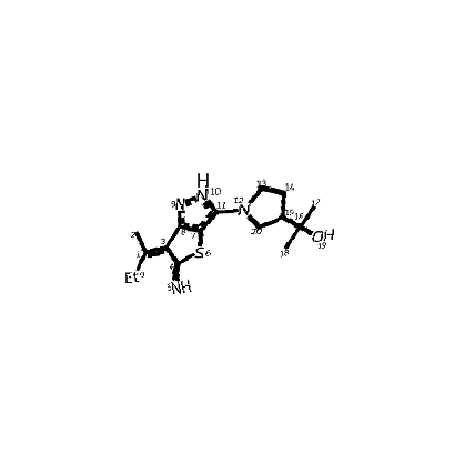 CC/C(C)=C1\C(=N)Sc2c1n[nH]c2N1CCC(C(C)(C)O)C1